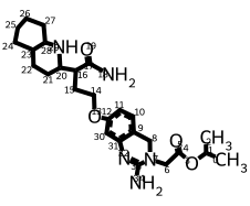 CC(C)OC(=O)CN1Cc2ccc(OCCC(C(N)=O)C3CCC4CCCCC4N3)cc2N=C1N